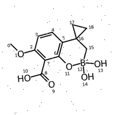 COc1ccc2c(c1C(=O)O)O[B-](O)(O)CC21CC1